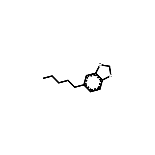 CCC[CH]Cc1ccc2c(c1)OCO2